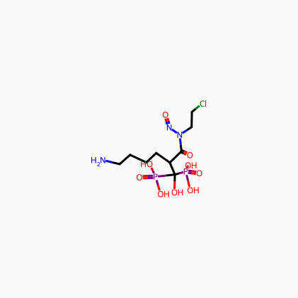 NCCCCC(C(=O)N(CCCl)N=O)C(O)(P(=O)(O)O)P(=O)(O)O